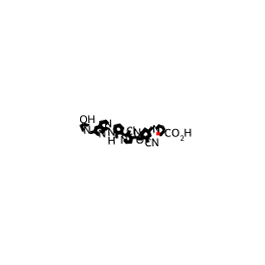 Cc1c(Nc2nccc3cc(CN4CCC(O)C4)cnc23)cccc1-c1nccc(-c2nc3cc(CN4CCC(C(=O)O)CC4)cc(C#N)c3o2)c1Cl